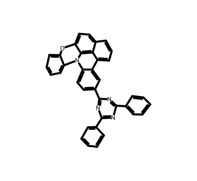 c1ccc(-c2nc(-c3ccccc3)nc(-c3ccc4c(c3)c3cccc5ccc6oc7ccccc7n4-c6c53)n2)cc1